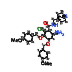 COc1ccc(COc2cc(N)c(C(=O)NCC34CCN(CC3)CC4)c(Cl)c2OCc2ccc(OC)cc2)cc1